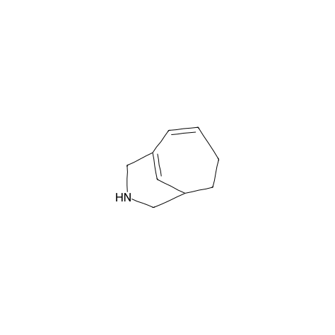 C1=CC2=CC(CC1)CNC2